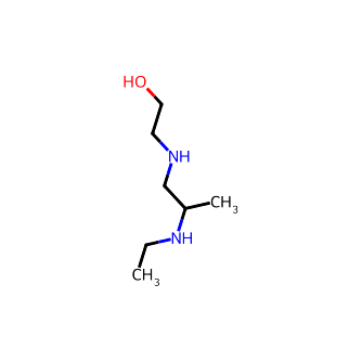 CCNC(C)CNCCO